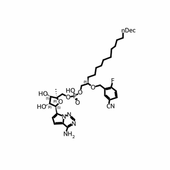 CCCCCCCCCCCCCCCCCCCC[C@H](COP(=O)(O)OC[C@@]1(C)O[C@@H](c2ccc3c(N)ncnn23)[C@H](O)[C@@H]1O)OCc1cc(C#N)ccc1F